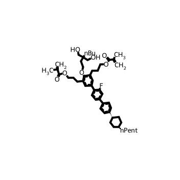 C=C(C)C(=O)OCCCc1cc(-c2ccc(-c3ccc([C@H]4CC[C@H](CCCCC)CC4)cc3)cc2F)cc(CCCOC(=O)C(=C)C)c1OCCC(CO)(CO)CCCC